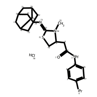 CC(C)c1ccc(NC(=O)CC2CS/C(=N\C34CC5CC(CC(C5)C3)C4)N2C)cc1.Cl